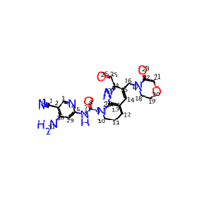 N#Cc1cnc(NC(=O)N2CCCc3cc(CN4CCOCC4=O)c(C=O)nc32)cc1N